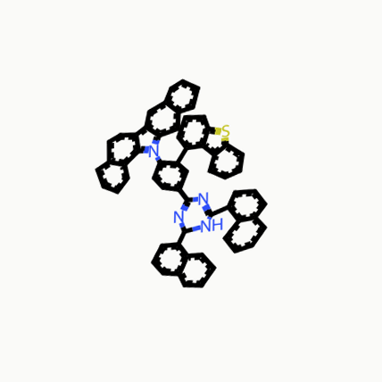 c1ccc2cc3c(cc2c1)c1ccc2ccccc2c1n3-c1ccc(C2=NC(c3cccc4ccccc34)NC(c3cccc4ccccc34)=N2)cc1-c1cccc2sc3ccccc3c12